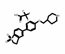 O=C(O)C(F)(F)F.O=S1(=O)CCc2cc(-c3ccc(OCC4CCNCC4)cc3)ccc21